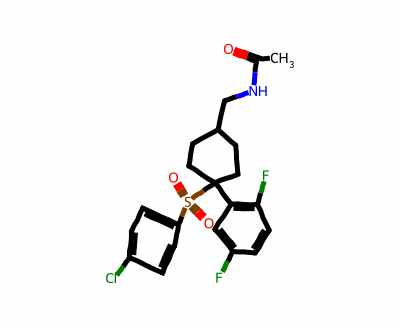 CC(=O)NCC1CCC(c2cc(F)ccc2F)(S(=O)(=O)c2ccc(Cl)cc2)CC1